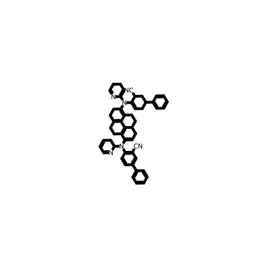 N#Cc1cc(-c2ccccc2)ccc1N(C1=CCC2CCC3=C(N(C4=CCCC=N4)C4=CCC(c5ccccc5)CC4C#N)CCC4=C3C2=C1CC4)C1CC=CC=N1